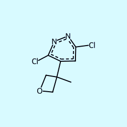 CC1(c2cc(Cl)nnc2Cl)COC1